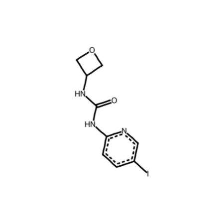 O=C(Nc1ccc(I)cn1)NC1COC1